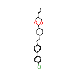 C/C=C/C1COC(C2CCC(CCc3ccc(-c4ccc(Cl)cc4)cc3)CC2)OC1